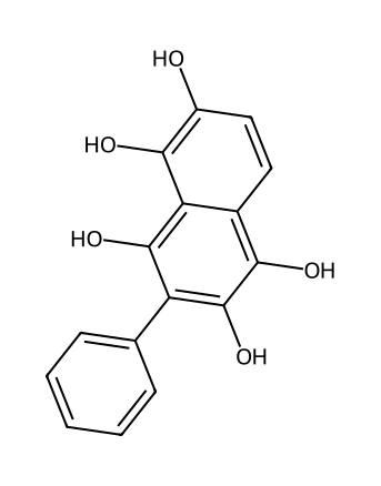 Oc1ccc2c(O)c(O)c(-c3ccccc3)c(O)c2c1O